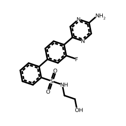 Nc1cnc(-c2ccc(-c3ccccc3S(=O)(=O)NCCO)cc2F)cn1